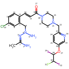 C/C(N)=N/N(N)Cc1cc(Cl)ccc1/C=C/C(=O)N1CCN(Cc2ccc(OC(I)C(F)I)cn2)CC1